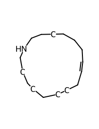 C1=CCCCCCCNCCCCCCCC1